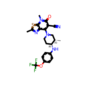 Cc1nc2c(N3CC[C@@H](Nc4ccc(OC(F)(F)F)cc4)[C@@H](C)C3)c(C#N)c(=O)n(C)c2s1